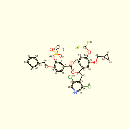 CS(=O)(=O)Oc1cc(C(=O)OC(Cc2c(Cl)cncc2Cl)c2ccc(OC(F)F)c(OCC3CC3)c2)ccc1OCc1ccccc1